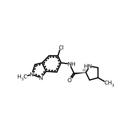 CC1CN[C@H](C(=O)Nc2cc3nn(C)cc3cc2Cl)C1